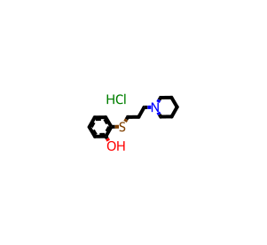 Cl.Oc1ccccc1SCCCN1CCCCC1